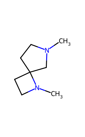 CN1CCC2(CCN2C)C1